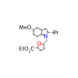 CCOC(=O)c1ccc(Cn2c(C(C)C)cc3cc(OC)ccc32)o1